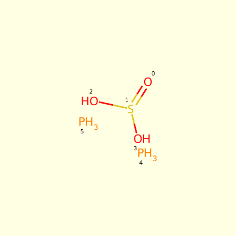 O=S(O)O.P.P